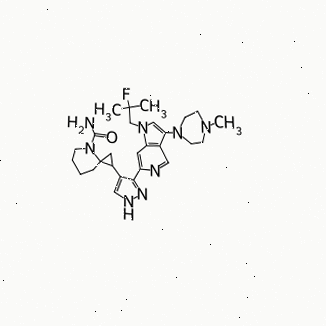 CN1CCN(c2cn(CC(C)(C)F)c3cc(-c4n[nH]cc4C4CC45CCCCN5C(N)=O)ncc23)CC1